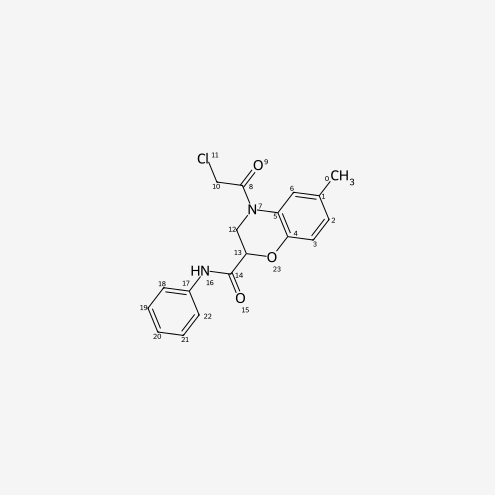 Cc1ccc2c(c1)N(C(=O)CCl)CC(C(=O)Nc1ccccc1)O2